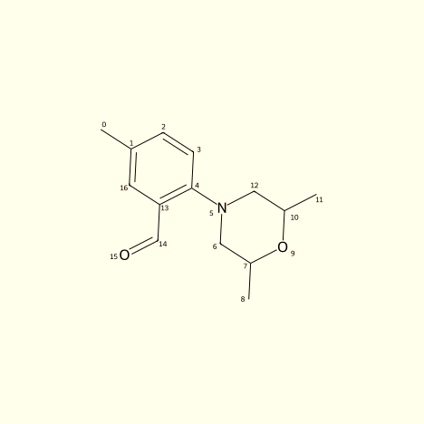 Cc1ccc(N2CC(C)OC(C)C2)c(C=O)c1